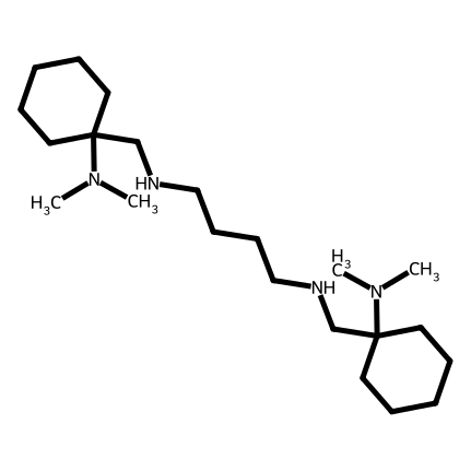 CN(C)C1(CNCCCCNCC2(N(C)C)CCCCC2)CCCCC1